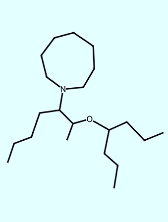 CCCCC(C(C)OC(CCC)CCC)N1CCCCCCC1